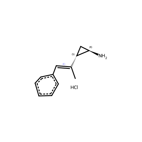 C/C(=C\c1ccccc1)[C@@H]1C[C@H]1N.Cl